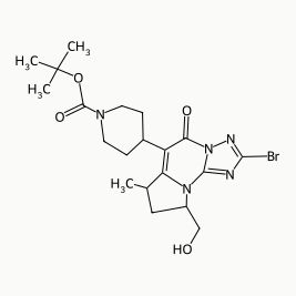 CC1CC(CO)n2c1c(C1CCN(C(=O)OC(C)(C)C)CC1)c(=O)n1nc(Br)nc21